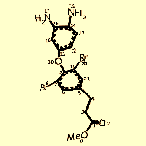 COC(=O)CCc1cc(Br)c(Oc2ccc(N)c(N)c2)c(Br)c1